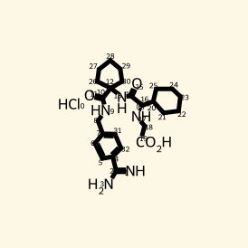 Cl.N=C(N)c1ccc(CNC(=O)C2(NC(=O)[C@H](NCC(=O)O)C3CCCCC3)CCCCC2)cc1